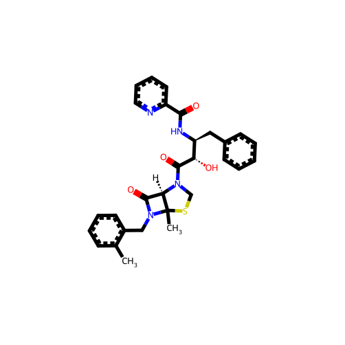 Cc1ccccc1CN1C(=O)[C@H]2N(C(=O)[C@@H](O)[C@H](Cc3ccccc3)NC(=O)c3ccccn3)CSC21C